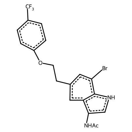 CC(=O)Nc1c[nH]c2c(Br)cc(CCOc3ccc(C(F)(F)F)cc3)cc12